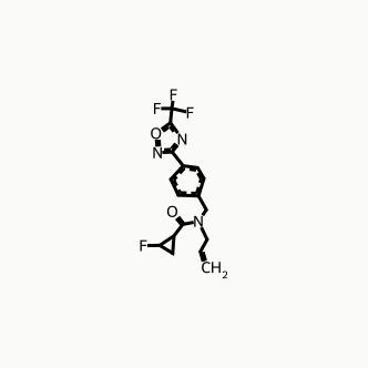 C=CCN(Cc1ccc(-c2noc(C(F)(F)F)n2)cc1)C(=O)C1CC1F